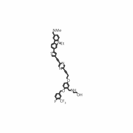 CCn1c2ccc(CNC)cc2c2ccc(-c3cc(C#Cc4cnc(C#CCCOc5ccc(OCc6ccc(F)c(C(F)(F)F)c6)c(CNCCO)c5)cn4)cs3)cc21